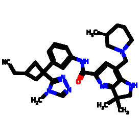 C[C@H]1CCCN(Cc2cc(C(=O)Nc3cccc(C4(c5nncn5C)CC(CC#N)C4)c3)nc3c2NCC3(C)C)C1